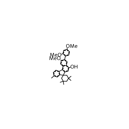 COc1ccc(-c2cc3c(O)cc4c(c3cc2OC)-c2ccc(C)cc2C42CC(C)(C)CC(C)(C)C2)c(OC)c1